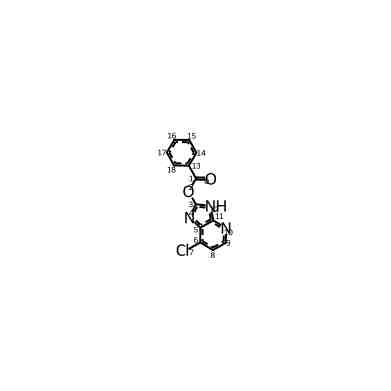 O=C(Oc1nc2c(Cl)ccnc2[nH]1)c1ccccc1